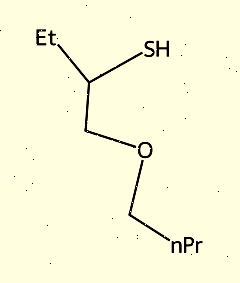 CCCCOCC(S)CC